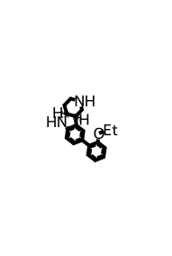 CCOc1ccccc1-c1ccc2c(c1)[C@@H]1CNCC[C@@H]1N2